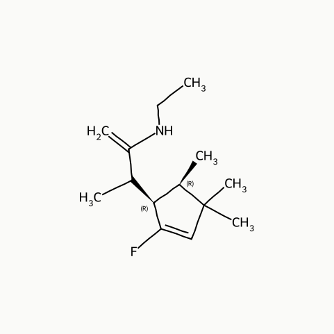 C=C(NCC)C(C)[C@@H]1C(F)=CC(C)(C)[C@@H]1C